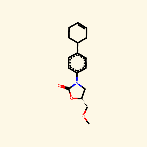 COC[C@H]1CN(c2ccc(C3CC=CCC3)cc2)C(=O)O1